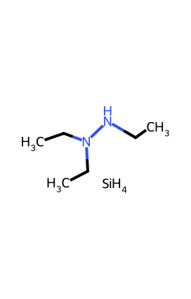 CCNN(CC)CC.[SiH4]